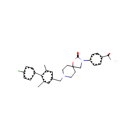 COC(=O)c1ccc(N2CC3(CCN(Cc4cc(C)c(-c5ccc(F)cc5)c(C)c4)CC3)OC2=O)cc1